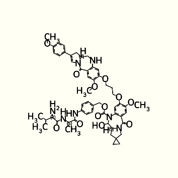 COc1ccc(C2=CN3C(=O)c4cc(OC)c(OCCCOc5cc6c(cc5OC)C(=O)N5CC7(CC7)C[C@H]5C(O)N6C(=O)OCc5ccc(NC(=O)[C@H](C)NC(=O)[C@H](N)C(C)C)cc5)cc4NC[C@H]3C2)cc1